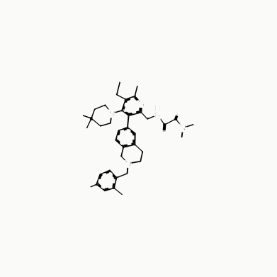 CCc1c(C)nc(CNC(=O)C(=O)N(C)C)c(-c2ccc3c(c2)CCN(Cc2ccc(F)cc2C)C3)c1N1CCC(C)(C)CC1